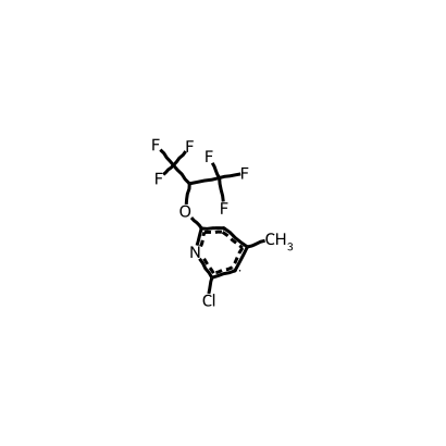 Cc1[c]c(Cl)nc(OC(C(F)(F)F)C(F)(F)F)c1